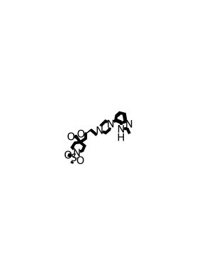 Cc1nc2cccc(N3CCN(CC[C@H]4CC5(CCN(S(C)(=O)=O)CC5)C(=O)O4)CC3)c2[nH]1